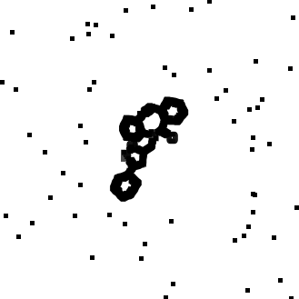 O=C1c2ccccc2C#Cc2ccccc2N1CC1CC(c2ccccc2)=NO1